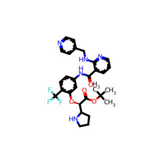 CC(C)(C)OC(=O)[C@H](Oc1cc(NC(=O)c2cccnc2NCc2ccncc2)ccc1C(F)(F)F)C1CCCN1